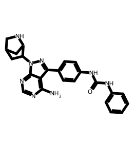 Nc1ncnc2c1c(-c1ccc(NC(=O)Nc3ccccc3)cc1)nn2C1CC2CNC1C2